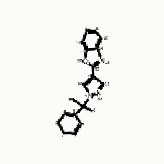 CC(C)(C1=CCCC=C1)n1cc(-c2nc3ccccc3o2)cn1